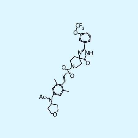 CC(=O)N(c1cc(C)c(/C=C/S(=O)(=O)N2CCC3(CC2)N=C(c2cccc(OC(F)(F)F)c2)NC3=O)c(C)c1)C1CCOCC1